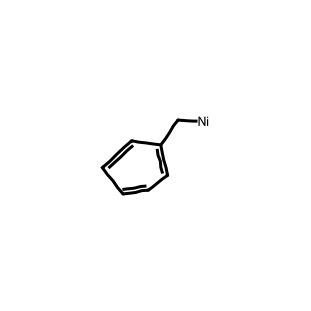 [Ni][CH2]c1ccccc1